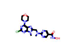 CN(Cc1nc2c(N3CCOCC3)nc(Cl)nc2n1C)c1ncc(C(=O)NO)cn1